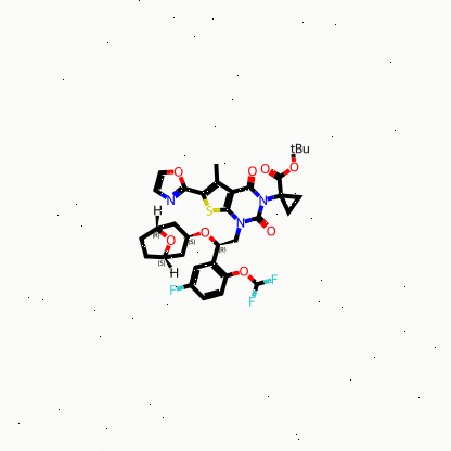 Cc1c(-c2ncco2)sc2c1c(=O)n(C1(C(=O)OC(C)(C)C)CC1)c(=O)n2C[C@H](O[C@@H]1C[C@H]2CC[C@@H](C1)O2)c1cc(F)ccc1OC(F)F